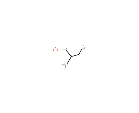 CC(C)CC(CO)C(C)(C)C